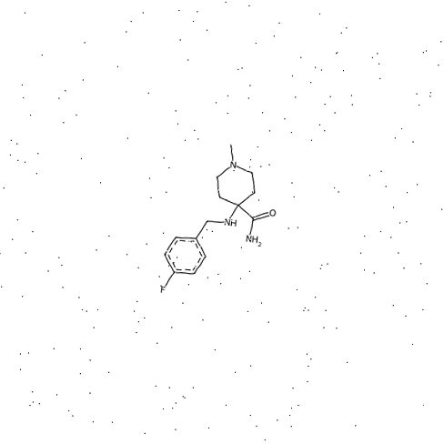 CN1CCC(NCc2ccc(F)cc2)(C(N)=O)CC1